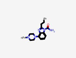 CCCN1CCN(c2cccc3c2nc(CCC(C)C)n3C(N)=O)CC1